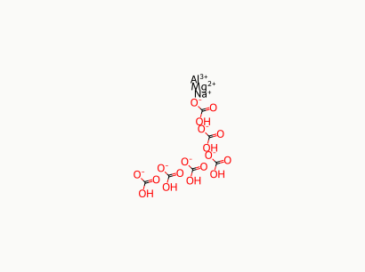 O=C([O-])O.O=C([O-])O.O=C([O-])O.O=C([O-])O.O=C([O-])O.O=C([O-])O.[Al+3].[Mg+2].[Na+]